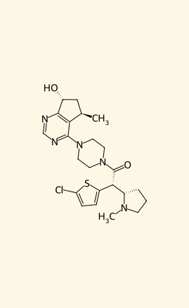 C[C@@H]1C[C@@H](O)c2ncnc(N3CCN(C(=O)[C@@H](c4ccc(Cl)s4)[C@@H]4CCCN4C)CC3)c21